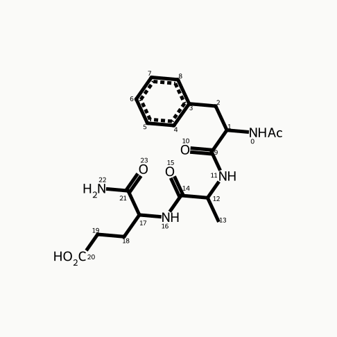 CC(=O)NC(Cc1ccccc1)C(=O)NC(C)C(=O)NC(CCC(=O)O)C(N)=O